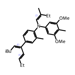 CC/C=C/C(=C\C(C)CC)c1ccc(N(/C=C(/C)CC)c2cc(OC)c(C)c(OC)c2)c(C)c1